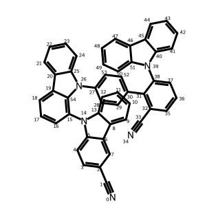 N#Cc1ccc2c(c1)c1ccccc1n2-c1cccc2c3ccccc3n(-c3ccc(-c4c(C#N)cccc4-n4c5ccccc5c5ccccc54)cc3)c12